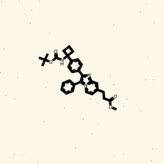 COC(=O)CCc1ccn2c(-c3ccccc3)c(-c3ccc(C4(NC(=O)OC(C)(C)C)CCC4)cc3)nc2c1